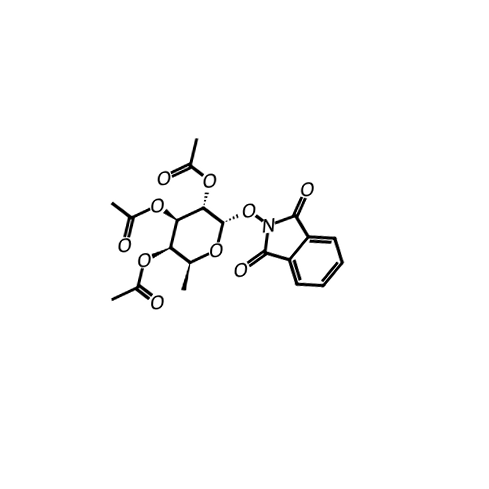 CC(=O)O[C@H]1[C@H](OC(C)=O)[C@H](ON2C(=O)c3ccccc3C2=O)O[C@@H](C)[C@H]1OC(C)=O